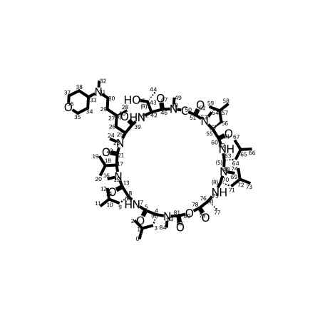 CC(C)C[C@@H]1C(=O)N[C@H](CC(C)C)C(=O)N(C)C(C(C)C)C(=O)N(C)C(C[C@H](C)CCN(C)C2CCOCC2)C(=O)NC([C@@H](C)O)C(=O)N(C)CC(=O)N(C)[C@@H](CC(C)C)C(=O)N[C@H](CC(C)C)N(C)[C@H](CC(C)C)N[C@H](C)C(=O)OC(=O)N1C